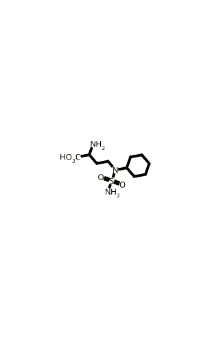 NC(CCN(C1CCCCC1)S(N)(=O)=O)C(=O)O